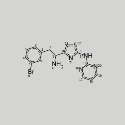 NC(Cc1cccc(Br)c1)c1csc(Nc2ncccn2)n1